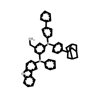 CCc1cc(N(c2ccc(-c3ccccc3)cc2)c2ccc(C34CC5CC(CC(C5)C3)C4)cc2)cc(N(c2ccccc2)c2ccc3oc4ccccc4c3c2)c1